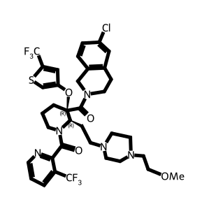 COCCN1CCN(CC[C@H]2N(C(=O)c3ncccc3C(F)(F)F)CCC[C@]2(Oc2csc(C(F)(F)F)c2)C(=O)N2CCc3cc(Cl)ccc3C2)CC1